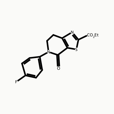 CCOC(=O)c1nc2c(s1)C(=O)N(c1ccc(F)cc1)CC2